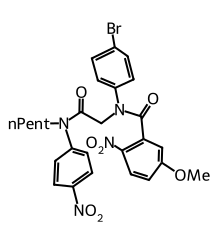 CCCCCN(C(=O)CN(C(=O)c1cc(OC)ccc1[N+](=O)[O-])c1ccc(Br)cc1)c1ccc([N+](=O)[O-])cc1